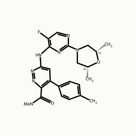 CNC(=O)c1nnc(Nc2nc(N3C[C@@H](C)O[C@@H](C)C3)ncc2F)cc1-c1ccc(C)cc1